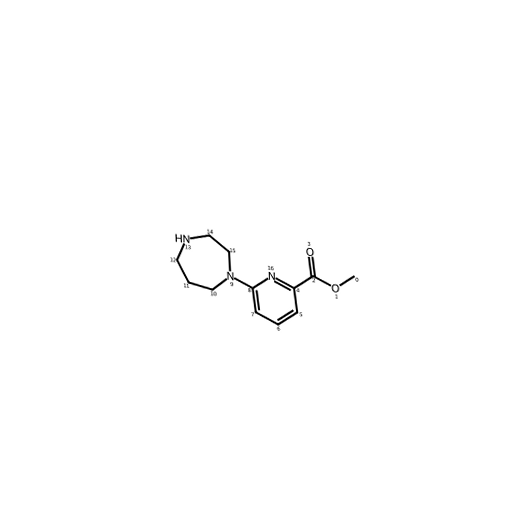 COC(=O)c1cccc(N2CCCNCC2)n1